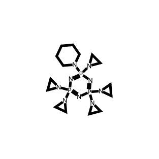 C1CCN(P2(N3CC3)=NP(N3CC3)(N3CC3)=NP(N3CC3)(N3CC3)=N2)CC1